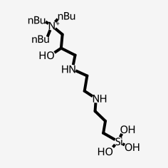 CCCC[N+](CCCC)(CCCC)CC(O)CNCCNCCC[Si](O)(O)O